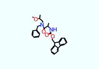 COC(C)CN(Cc1ccccc1)C(=O)C(C)NC(=O)OCC1c2ccccc2-c2ccccc21